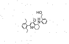 CCc1cccc(CC)c1-c1cc(OC)c2c(n1)CCCC2Nc1ccccc1CCO